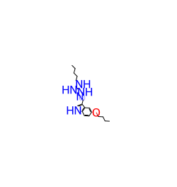 CCCCCNC(=N)N/N=C/c1c[nH]c2ccc(OCCCC)cc12